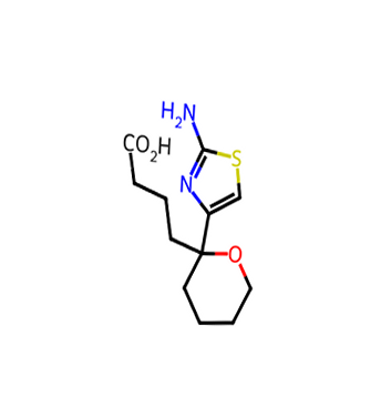 Nc1nc(C2(CCCC(=O)O)CCCCO2)cs1